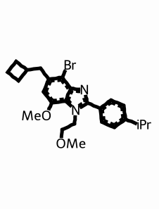 COCCn1c(-c2ccc(C(C)C)cc2)nc2c(Br)c(CC3CCC3)cc(OC)c21